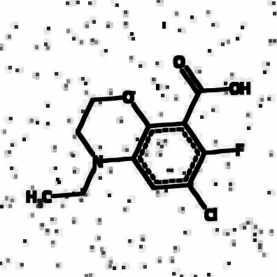 CCN1CCOc2c1cc(Cl)c(F)c2C(=O)O